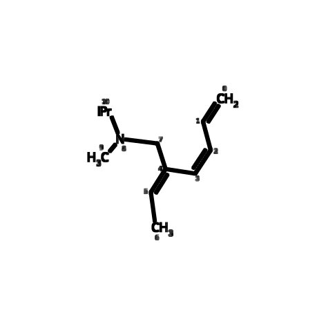 C=C/C=C\C(=C/C)CN(C)C(C)C